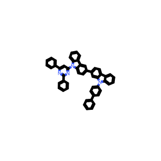 c1ccc(-c2ccc(-n3c4ccccc4c4ccc(-c5ccc6c(c5)c5ccccc5n6-c5cc(-c6ccccc6)nc(-c6ccccc6)n5)cc43)cc2)cc1